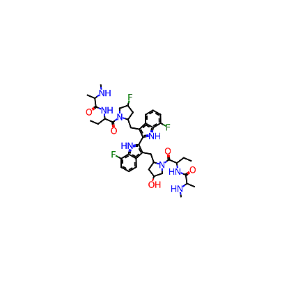 CCC(NC(=O)C(C)NC)C(=O)N1CC(O)CC1Cc1c(-c2[nH]c3c(F)cccc3c2CC2CC(F)CN2C(=O)C(CC)NC(=O)C(C)NC)[nH]c2c(F)cccc12